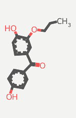 CCCOc1cc(C(=O)c2ccc(O)cc2)ccc1O